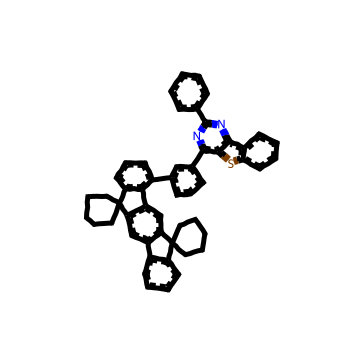 c1ccc(-c2nc(-c3cccc(-c4cccc5c4-c4cc6c(cc4C54CCCCC4)-c4ccccc4C64CCCCC4)c3)c3sc4ccccc4c3n2)cc1